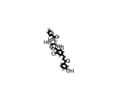 O=C(CCc1cc(Cl)c(C(=O)N[C@@H](CNC(=O)c2cccs2)C(=O)O)c(Cl)c1)c1cccc(O)c1